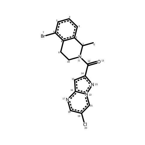 CC1c2cccc(Br)c2CCN1C(=O)c1cc2ncc(Cl)cn2n1